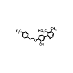 Cc1ccnc(-c2ccc(OCCc3ccc(C(F)(F)F)cc3)c(C#N)c2)c1C(=O)O